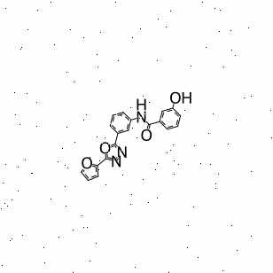 O=C(Nc1cccc(-c2nnc(-c3ccco3)o2)c1)c1cccc(O)c1